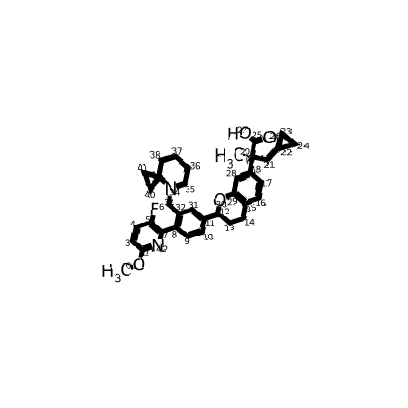 COc1ccc(F)c(-c2ccc(C3CCc4ccc([C@](C)(CC5CC5)C(=O)O)cc4O3)cc2CN2CCCCC23CC3)n1